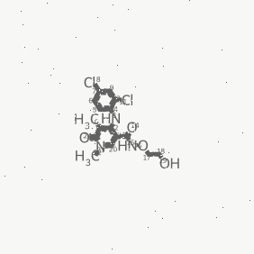 Cc1c(Nc2ccc(Cl)cc2Cl)c(C(=O)NOCCO)cn(C)c1=O